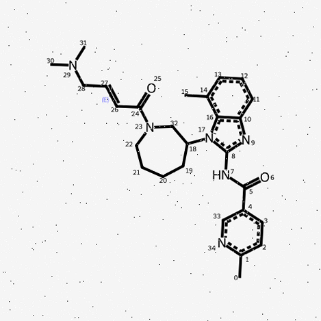 Cc1ccc(C(=O)Nc2nc3cccc(C)c3n2C2CCCCN(C(=O)/C=C/CN(C)C)C2)cn1